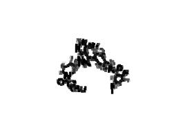 CC(C)(C)OC(=O)N1CCCC(n2nc(-c3ccc(CNC(=O)c4cc(F)ccc4F)cc3)c3c(N)ncnc32)C1